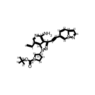 C=Cc1cnc(N)c2c(C#Cc3ccc4ccnn4c3)nn([C@H]3CCN(C(=O)OC(C)(C)C)C3)c12